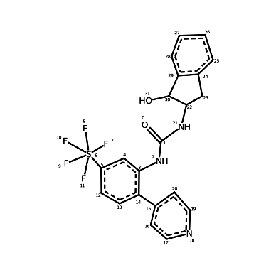 O=C(Nc1cc(S(F)(F)(F)(F)F)ccc1-c1ccncc1)NC1Cc2ccccc2C1O